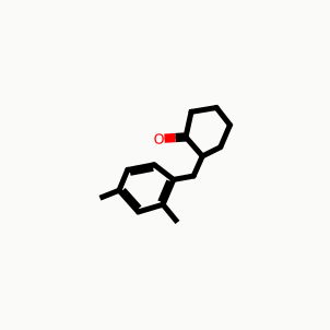 Cc1ccc(CC2CCCCC2=O)c(C)c1